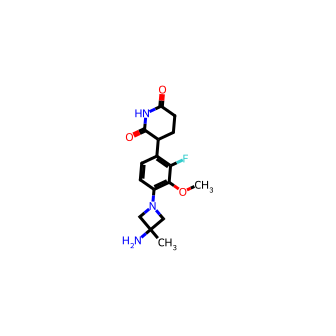 COc1c(N2CC(C)(N)C2)ccc(C2CCC(=O)NC2=O)c1F